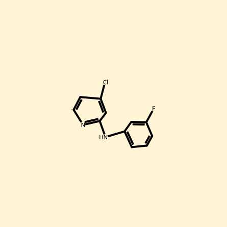 Fc1cccc(Nc2cc(Cl)c[c]n2)c1